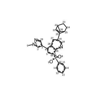 Cn1cc(-c2cn(S(=O)(=O)c3ccccc3)c3ncc(C4=CC5CCC4C5)cc23)cn1